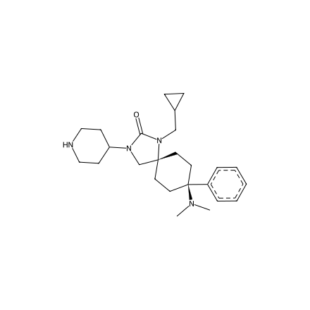 CN(C)[C@]1(c2ccccc2)CC[C@@]2(CC1)CN(C1CCNCC1)C(=O)N2CC1CC1